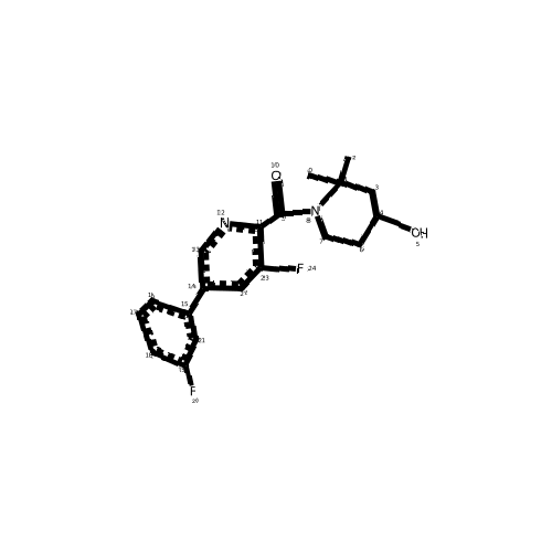 CC1(C)CC(O)CCN1C(=O)c1ncc(-c2cccc(F)c2)cc1F